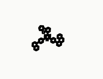 c1ccc2c(-c3ccc(-c4nc(-c5ccc(-c6cccc7ccc8ccccc8c67)cc5)nc(-c5cccc6c5oc5ccccc56)n4)cc3)cccc2c1